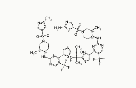 C[C@@H]1CN(S(=O)(=O)c2cnn(C)c2)CC[C@@H]1Nc1ncc(C(F)(F)F)c(-c2cnc(C(C)(O)C(C)(O)c3ncc(-c4nc(N[C@H]5CCN(S(=O)(=O)c6cnc(N)s6)C[C@H]5C)ncc4C(F)(F)F)s3)s2)n1